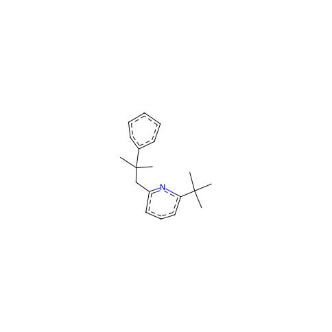 CC(C)(C)c1cccc(CC(C)(C)c2ccccc2)n1